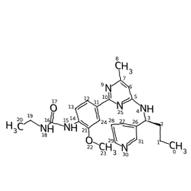 CCC[C@H](Nc1cc(C)nc(-c2ccc(NC(=O)NCC)c(OC)c2)n1)c1cccnc1